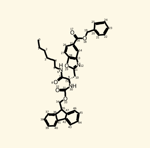 CCCCCCNC(=O)[C@H](Cc1nc2cc(C(=O)OCc3ccccc3)ccc2o1)NC(=O)OCC1c2ccccc2-c2ccccc21